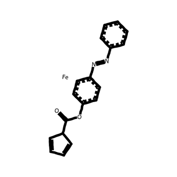 O=C(Oc1ccc(/N=N/c2ccccc2)cc1)C1C=CC=C1.[Fe]